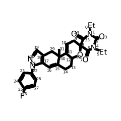 CCN1C(=O)N(CC)C(=O)C2(CC=C3C(CCC4=Cc5c(cnn5-c5ccc(F)cc5)CC43C)O2)C1=O